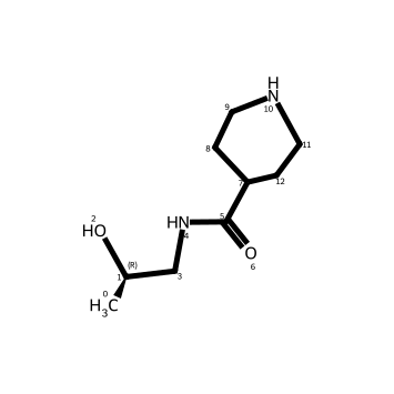 C[C@@H](O)CNC(=O)C1CCNCC1